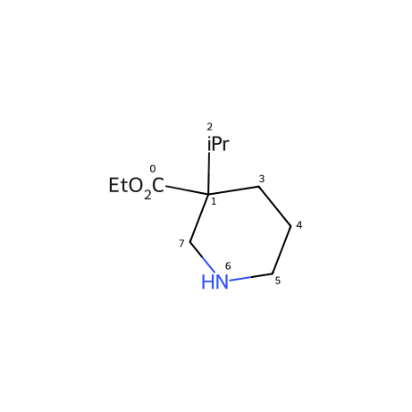 CCOC(=O)C1(C(C)C)CCCNC1